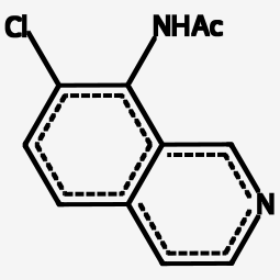 CC(=O)Nc1c(Cl)ccc2ccncc12